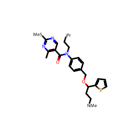 CNCCC(OCc1ccc(N(CCC(C)C)C(=O)c2cnc(SC)nc2C)cc1)c1cccs1